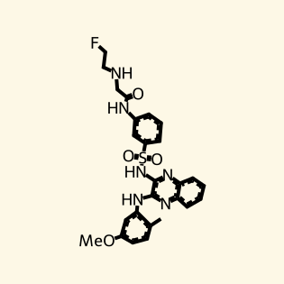 COc1ccc(C)c(Nc2nc3ccccc3nc2NS(=O)(=O)c2cccc(NC(=O)CNCCF)c2)c1